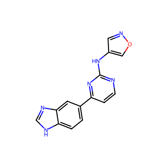 c1cc(-c2ccc3[nH]cnc3c2)nc(Nc2cnoc2)n1